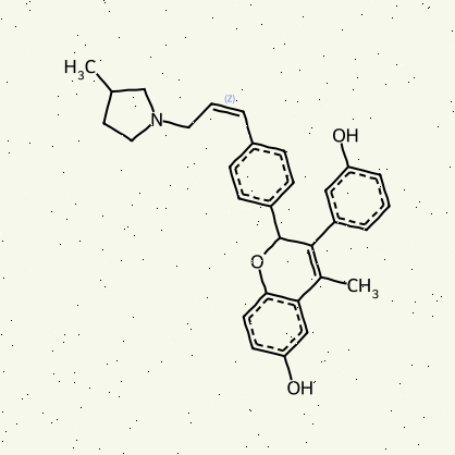 CC1=C(c2cccc(O)c2)C(c2ccc(/C=C\CN3CCC(C)C3)cc2)Oc2ccc(O)cc21